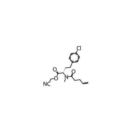 C=CCCC(=O)N(C)[C@@H](CCc1ccc(Cl)cc1)C(=O)OCC#N